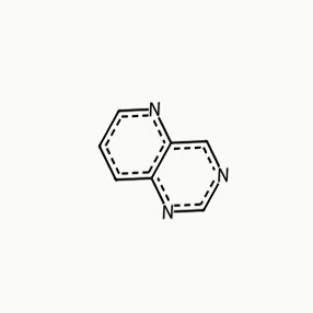 c1cnc2cncnc2c1